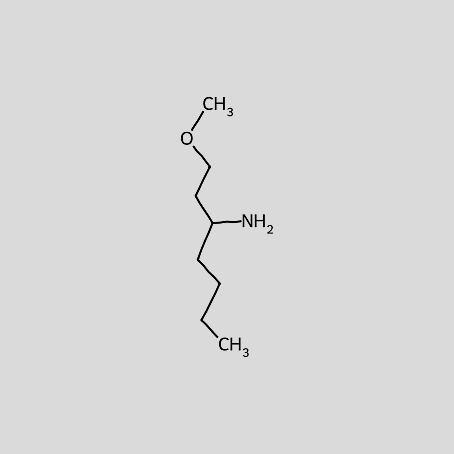 CCCCC(N)CCOC